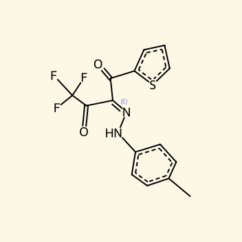 Cc1ccc(N/N=C(/C(=O)c2cccs2)C(=O)C(F)(F)F)cc1